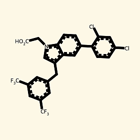 O=C(O)Cn1cc(Cc2cc(C(F)(F)F)cc(C(F)(F)F)c2)c2cc(-c3ccc(Cl)cc3Cl)ccc21